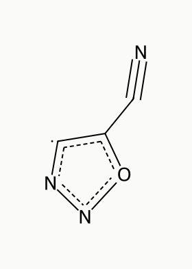 N#Cc1[c]nno1